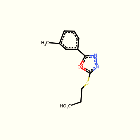 Cc1cccc(-c2nnc(SCCC(=O)O)o2)c1